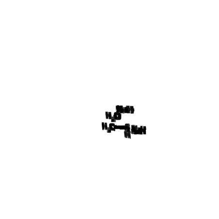 CS.O.[NaH].[NaH]